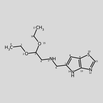 CCOC(CNCc1cc2scnc2[nH]1)OCC